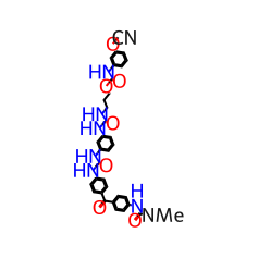 CNC(=O)Nc1ccc(C(=O)c2ccc(NC(=O)Nc3cccc(NC(=O)NCCCOC(=O)Nc4cccc(OC#N)c4)c3)cc2)cc1